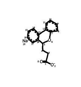 O=C([O-])CCC1Oc2ccccc2-c2ccccc21.[Na+]